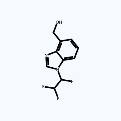 OCc1cccc2c1ncn2C(F)C(F)F